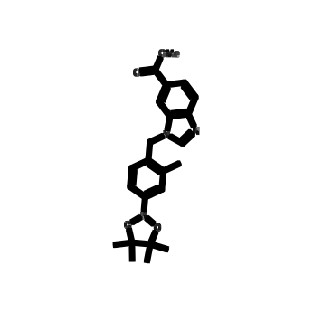 COC(=O)c1ccc2ncn(Cc3ccc(B4OC(C)(C)C(C)(C)O4)cc3C)c2c1